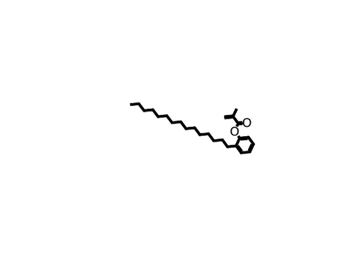 C=C(C)C(=O)Oc1ccccc1CCCCCCCCCCCCCCC